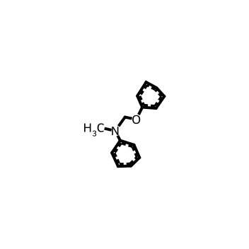 CN(COc1ccccc1)c1ccccc1